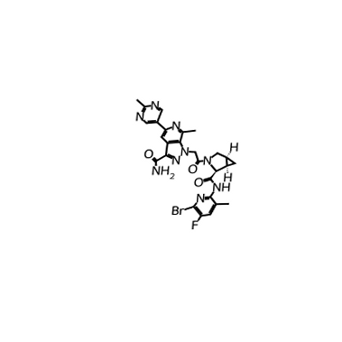 Cc1ncc(-c2cc3c(C(N)=O)nn(CC(=O)N4C[C@H]5C[C@H]5[C@H]4C(=O)Nc4nc(Br)c(F)cc4C)c3c(C)n2)cn1